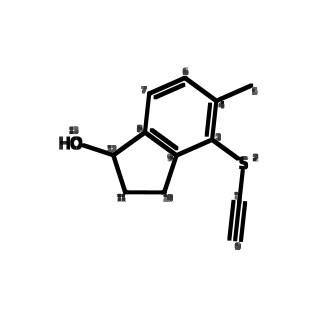 C#CSc1c(C)ccc2c1CCC2O